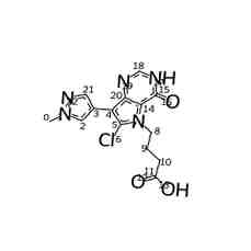 Cn1cc(-c2c(Cl)n(CCCC(=O)O)c3c(=O)[nH]cnc23)cn1